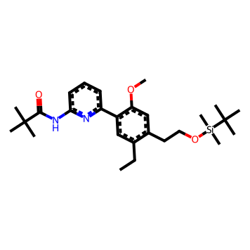 CCc1cc(-c2cccc(NC(=O)C(C)(C)C)n2)c(OC)cc1CCO[Si](C)(C)C(C)(C)C